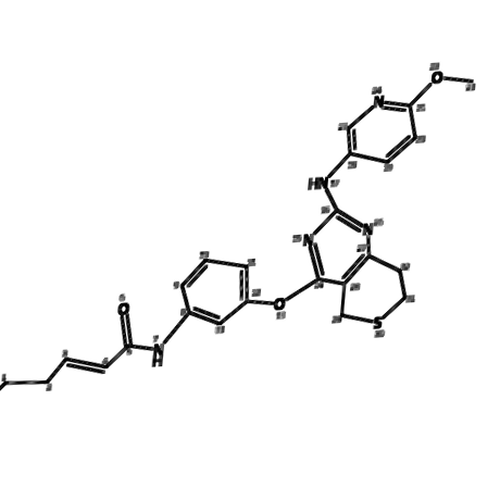 CCC/C=C/C(=O)Nc1cccc(Oc2nc(Nc3ccc(OC)nc3)nc3c2CSCC3)c1